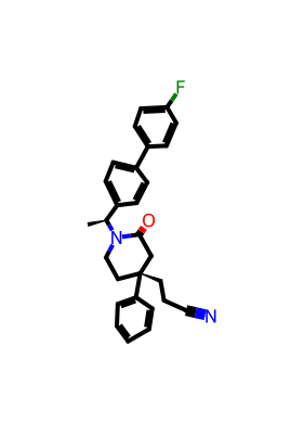 C[C@@H](c1ccc(-c2ccc(F)cc2)cc1)N1CC[C@@](CCC#N)(c2ccccc2)CC1=O